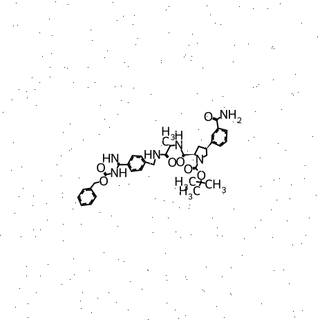 C[C@H](NC(=O)[C@H]1C[C@@H](c2cccc(C(N)=O)c2)CN1C(=O)OC(C)(C)C)C(=O)NCc1ccc(C(=N)NC(=O)OCc2ccccc2)cc1